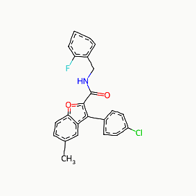 Cc1ccc2oc(C(=O)NCc3ccccc3F)c(-c3ccc(Cl)cc3)c2c1